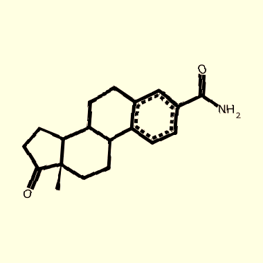 C[C@]12CCC3c4ccc(C(N)=O)cc4CCC3C1CCC2=O